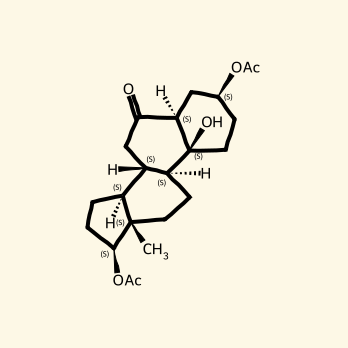 CC(=O)O[C@H]1CC[C@@]2(O)[C@H](C1)C(=O)C[C@H]1[C@@H]3CC[C@H](OC(C)=O)[C@@]3(C)CC[C@@H]12